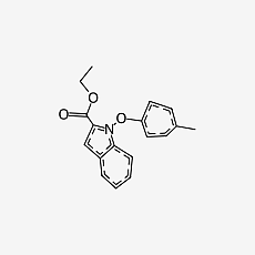 CCOC(=O)c1cc2ccccc2n1Oc1ccc(C)cc1